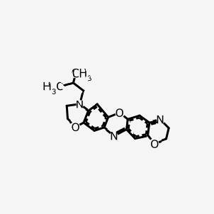 CC(C)CN1CCOc2cc3c(cc21)Oc1cc2c(cc1=N3)OCCN=2